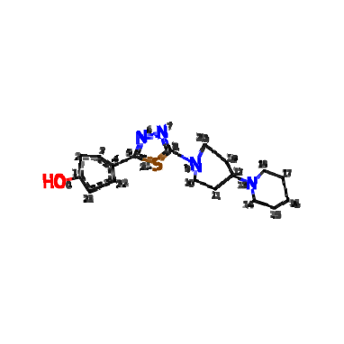 Oc1ccc(-c2nnc(N3CCC(N4CCCCC4)CC3)s2)cc1